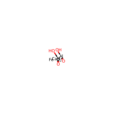 [CaH2].[Fe].[O]=[Al][OH].[O]=[Al][OH]